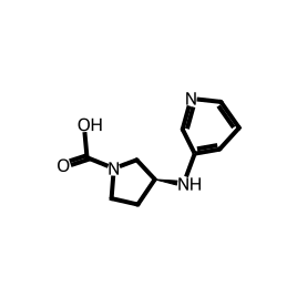 O=C(O)N1CC[C@H](Nc2cccnc2)C1